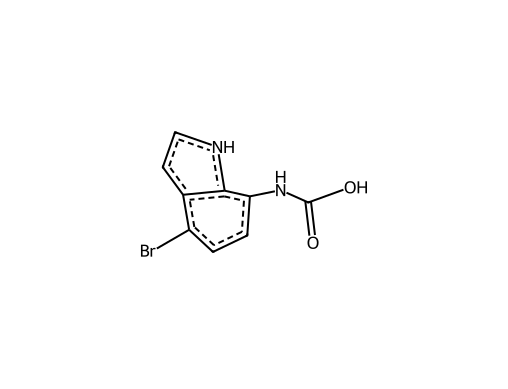 O=C(O)Nc1ccc(Br)c2cc[nH]c12